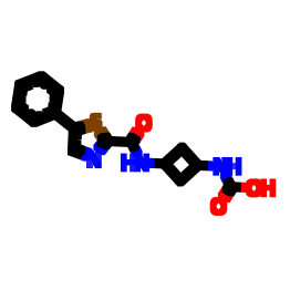 O=C(O)NC1CC(NC(=O)c2ncc(-c3ccccc3)s2)C1